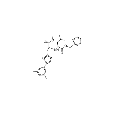 COC(=O)C(Cc1ccc(-c2cc(C)cc(C)c2)o1)N[C@@H](CC(C)C)C(=O)OCc1ccccc1